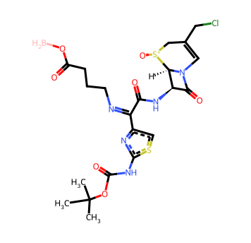 BOC(=O)CCC/N=C(\C(=O)N[C@@H]1C(=O)N2C=C(CCl)C[S+]([O-])[C@H]12)c1csc(NC(=O)OC(C)(C)C)n1